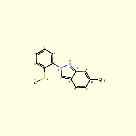 CCSc1ccccc1-n1cc2ccc(C)cc2n1